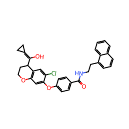 O=C(NCCc1cccc2ccccc12)c1ccc(Oc2cc3c(cc2Cl)C(C(O)=C2CC2)CCO3)cc1